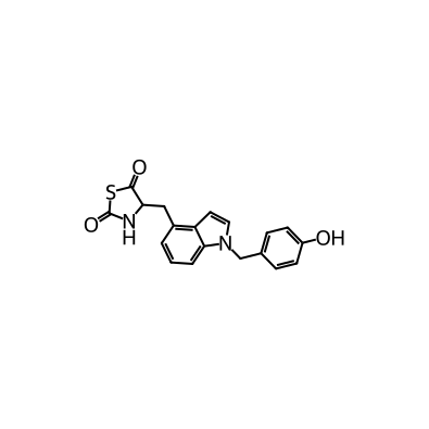 O=C1NC(Cc2cccc3c2ccn3Cc2ccc(O)cc2)C(=O)S1